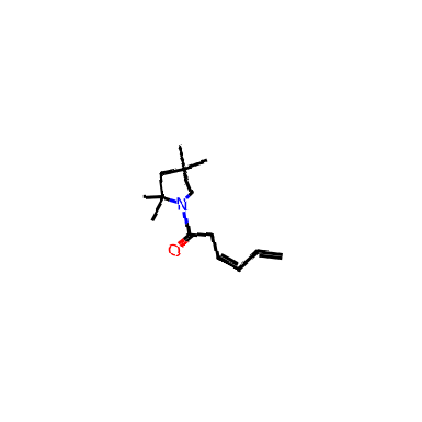 C=C/C=C\CC(=O)N1CC(C)(C)CC1(C)C